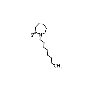 CCCCCCCCN1CCCCCC1=S